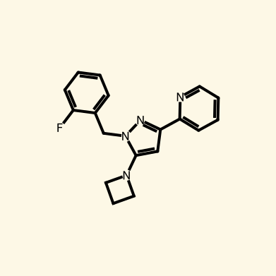 Fc1ccccc1Cn1nc(-c2ccccn2)cc1N1CCC1